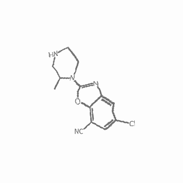 CC1CNCCN1c1nc2cc(Cl)cc(C#N)c2o1